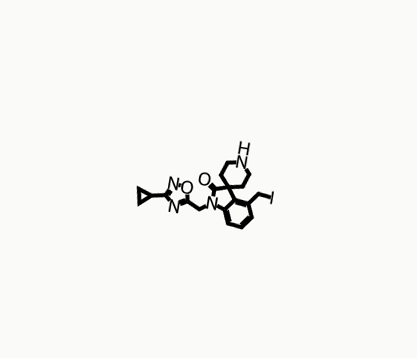 O=C1N(Cc2nc(C3CC3)no2)c2cccc(CI)c2C12CCNCC2